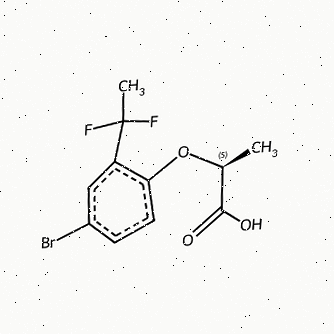 C[C@H](Oc1ccc(Br)cc1C(C)(F)F)C(=O)O